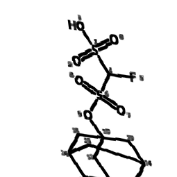 O=S(=O)(O)C(F)S(=O)(=O)OC12CC3CC(CC(C3)C1)C2